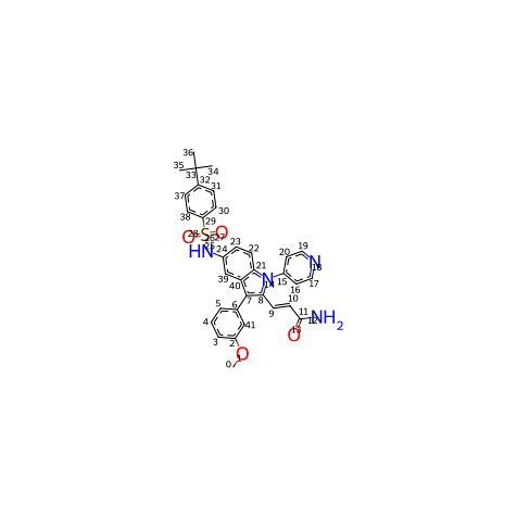 COc1cccc(-c2c(/C=C/C(N)=O)n(-c3ccncc3)c3ccc(NS(=O)(=O)c4ccc(C(C)(C)C)cc4)cc23)c1